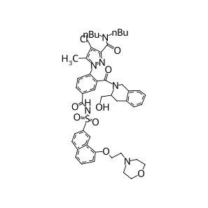 CCCCN(CCCC)C(=O)c1nn(-c2ccc(C(=O)NS(=O)(=O)c3ccc4cccc(OCCN5CCOCC5)c4c3)cc2C(=O)N2Cc3ccccc3CC2CO)c(C)c1Cl